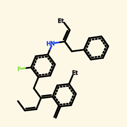 C=c1ccc(CC)c/c1=C(/C=C\C)Cc1ccc(N/C(=C\CC)Cc2ccccc2)cc1F